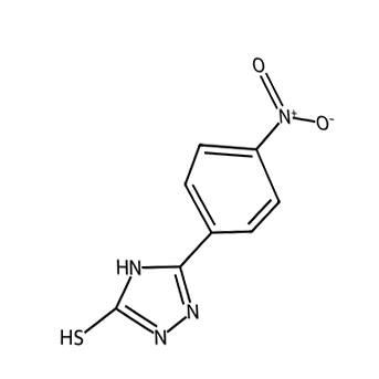 O=[N+]([O-])c1ccc(-c2nnc(S)[nH]2)cc1